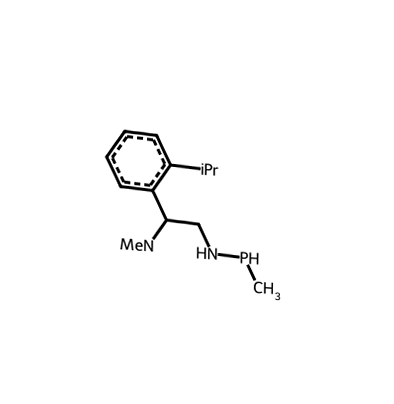 CNC(CNPC)c1ccccc1C(C)C